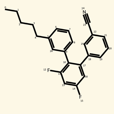 CCCCCc1cccc(-c2c(F)cc(F)cc2-c2cccc(C#N)c2)c1